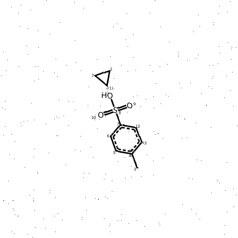 C1CC1.Cc1ccc(S(=O)(=O)O)cc1